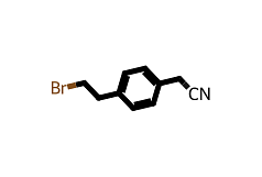 N#CCc1ccc(CCBr)cc1